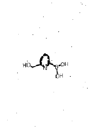 OCc1cccc(B(O)O)n1